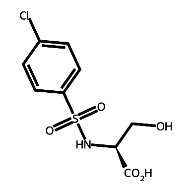 O=C(O)[C@H](CO)NS(=O)(=O)c1ccc(Cl)cc1